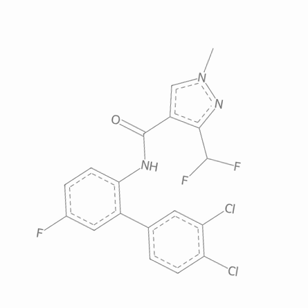 Cn1cc(C(=O)Nc2ccc(F)cc2-c2ccc(Cl)c(Cl)c2)c(C(F)F)n1